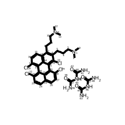 CN(C)CCCc1c(CCCN(C)C)c2ccc(Cl)c3c4c(Cl)ccc5ccc(Cl)c(c(c1Cl)c23)c54.NC(=O)NC(N)=O.NC(=O)NC(N)=O